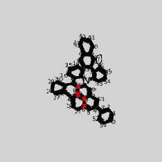 c1ccc(-c2ccc3ccc(N(c4ccccc4-c4cc5ccccc5c5ccccc45)c4cccc5oc6c7ccccc7ccc6c45)cc3c2)cc1